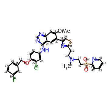 COc1cc2ncnc(Nc3ccc(OCc4cccc(F)c4)c(Cl)c3)c2cc1-c1csc(CCN(C)CCS(=O)(=O)c2ccccn2)n1